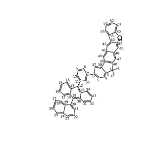 CC1(C)c2ccc(-c3cccc(-c4c5ccccc5c(-c5cccc6ccccc56)c5ccccc45)c3)cc2-c2cc3cc4c(cc3cc21)oc1ccccc14